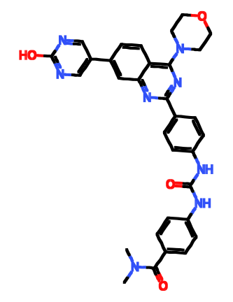 CN(C)C(=O)c1ccc(NC(=O)Nc2ccc(-c3nc(N4CCOCC4)c4ccc(-c5cnc(O)nc5)cc4n3)cc2)cc1